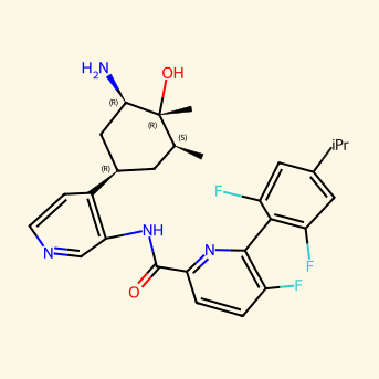 CC(C)c1cc(F)c(-c2nc(C(=O)Nc3cnccc3[C@H]3C[C@@H](N)[C@](C)(O)[C@@H](C)C3)ccc2F)c(F)c1